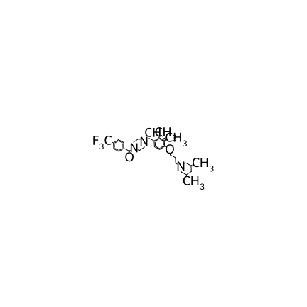 Cc1c(OCCCN2CC(C)CC(C)C2)ccc(C(C)N2CCN(C(=O)c3ccc(C(F)(F)F)cc3)CC2)c1C